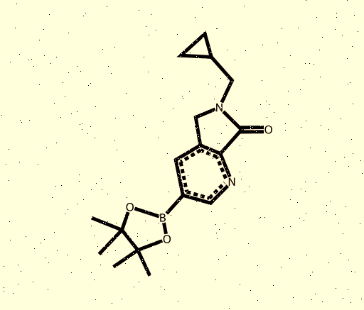 CC1(C)OB(c2cnc3c(c2)CN(CC2CC2)C3=O)OC1(C)C